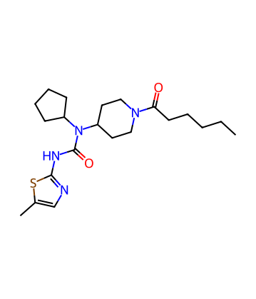 CCCCCC(=O)N1CCC(N(C(=O)Nc2ncc(C)s2)C2CCCC2)CC1